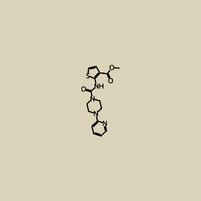 COC(=O)c1ccsc1NC(=O)N1CCN(c2ccccn2)CC1